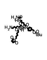 CC(C)(C)C(=O)OCc1ccc(NC(=O)C(CCCNC(N)=O)NC(=O)[C@H](CCCCN)NC(=O)CCCCCN2C(=O)C=CC2=O)cc1